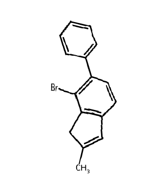 CC1=Cc2ccc(-c3ccccc3)c(Br)c2C1